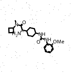 COc1ccccc1NC(=O)NC1CCC([C@H](N)C(=O)N(C)C2CCC2)CC1